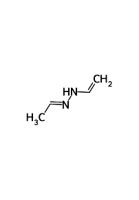 C=CN/N=C/C